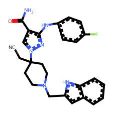 N#CCC1(n2cc(C(N)=O)c(Nc3ccc(F)cc3)n2)CCN(Cc2cc3ccccc3[nH]2)CC1